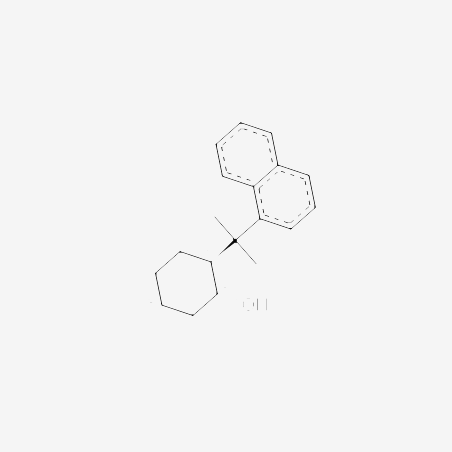 C[C@@H]1CC[C@@H](C(C)(C)c2cccc3ccccc23)[C@H](O)C1